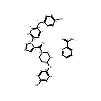 NC(=O)c1ccccn1.O=C(c1cccn1-c1ccc(Oc2ccc(F)cc2)nc1)N1CCC(Oc2ccc(F)cc2)CC1